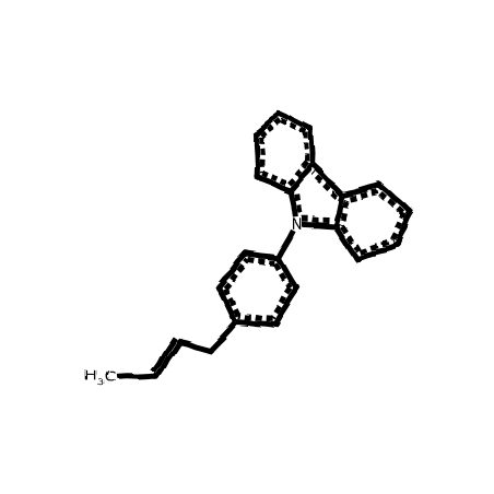 CC=CCc1ccc(-n2c3ccccc3c3ccccc32)cc1